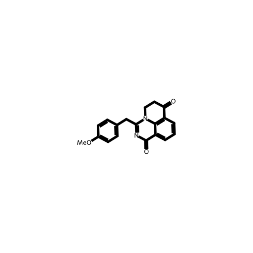 COc1ccc(Cc2nc(=O)c3cccc4c3n2CCC4=O)cc1